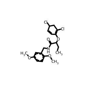 CCC(OC1=C(Cl)CC(Cl)C=C1)C(=O)NCc1cc(OC)ccc1OC